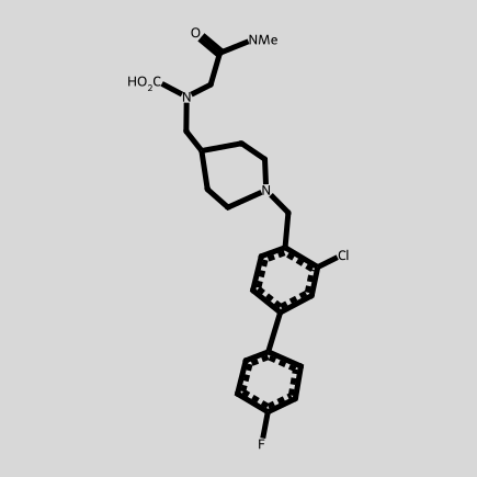 CNC(=O)CN(CC1CCN(Cc2ccc(-c3ccc(F)cc3)cc2Cl)CC1)C(=O)O